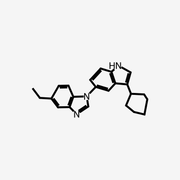 CCc1ccc2c(c1)ncn2-c1ccc2[nH]cc(C3CCCCC3)c2c1